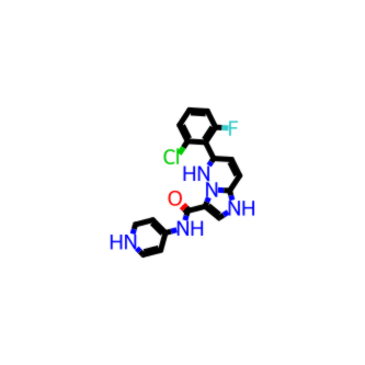 O=C(NC1=CCNC=C1)C1=CNC2C=CC(c3c(F)cccc3Cl)NN12